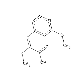 CC/C(=C/c1ccnc(OC)c1)C(=O)O